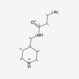 CC(=O)CCC(=O)NCC1CCNCC1